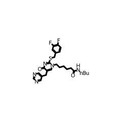 CCCCNC(=O)CCCCCn1cc(Cc2cncnc2)c(=O)nc1SCc1ccc(F)c(F)c1